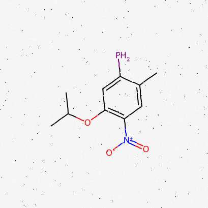 Cc1cc([N+](=O)[O-])c(OC(C)C)cc1P